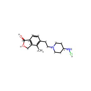 Cc1c(CCN2CCC(NCl)CC2)ccc2c1COC2=O